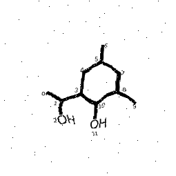 [CH2]C(O)C1CC(C)CC(C)C1O